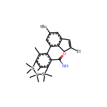 CCC1=Cc2cc(C(C)(C)C)cc(-c3c(C)c4c(C)c(c3C([NH])=O)[Si](C)(C)[Si](C)(C)[Si]4(C)C)c2C1